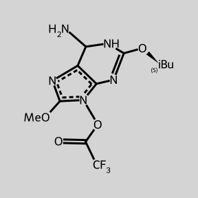 CC[C@H](C)OC1=Nc2c(nc(OC)n2OC(=O)C(F)(F)F)C(N)N1